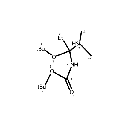 CCC(NC(=O)OC(C)(C)C)(OC(C)(C)C)[SiH](C)C